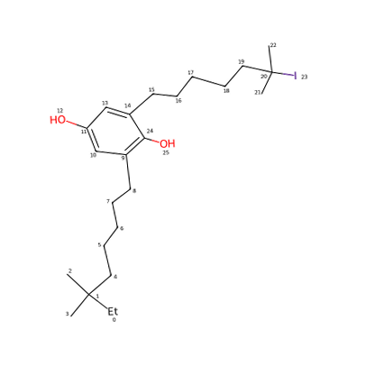 CCC(C)(C)CCCCCc1cc(O)cc(CCCCCC(C)(C)I)c1O